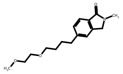 COCCOCCCCc1ccc2c(c1)CN(C)C2=O